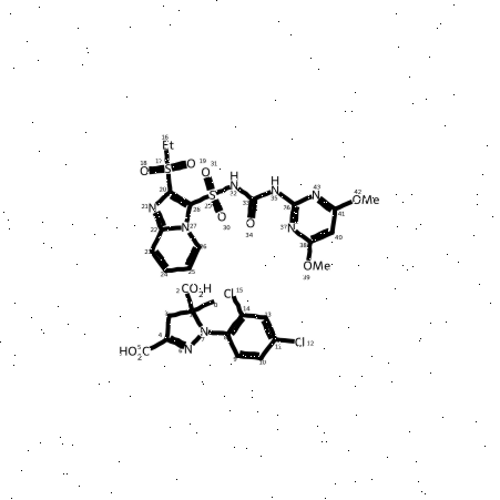 CC1(C(=O)O)CC(C(=O)O)=NN1c1ccc(Cl)cc1Cl.CCS(=O)(=O)c1nc2ccccn2c1S(=O)(=O)NC(=O)Nc1nc(OC)cc(OC)n1